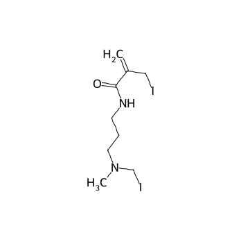 C=C(CI)C(=O)NCCCN(C)CI